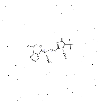 [C-]#[N+]C(/N=N/c1n[nH]c(C(C)(C)C)c1[N+]#[C-])=C(/O)c1ccccc1[N+](=O)[O-]